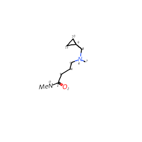 CNC(=O)CCCN(C)CC1CC1